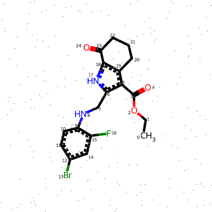 CCOC(=O)c1c(CNc2ccc(Br)cc2F)[nH]c2c1CCCC2=O